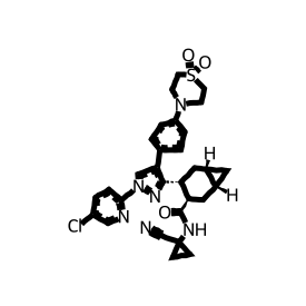 N#CC1(NC(=O)[C@@H]2C[C@H]3C[C@H]3C[C@H]2c2nn(-c3ccc(Cl)cn3)cc2-c2ccc(N3CCS(=O)(=O)CC3)cc2)CC1